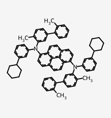 Cc1ccccc1-c1ccc(C)c(N(c2cccc(C3CCCCC3)c2)c2ccc3ccc4c(N(c5cccc(C6CCCCC6)c5)c5cc(-c6ccccc6C)ccc5C)ccc5ccc2c3c54)c1